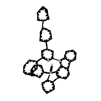 O=P1(c2ccccc2)c2ccccc2-c2ccc3c4ccccc4n(-c4cc(-c5ccc(-c6ccccc6)cc5)cc(-c5ccccc5)n4)c3c21